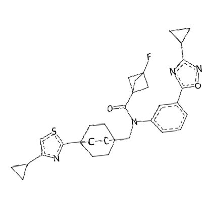 O=C(N(CC12CCC(c3nc(C4CC4)cs3)(CC1)CC2)c1cccc(-c2nc(C3CC3)no2)c1)C12CC(F)(C1)C2